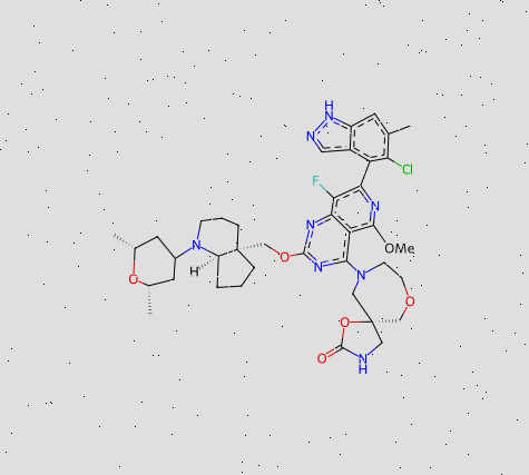 COc1nc(-c2c(Cl)c(C)cc3[nH]ncc23)c(F)c2nc(OC[C@]34CCC[C@H]3N(C3C[C@@H](C)O[C@@H](C)C3)CCC4)nc(N3CCOC[C@@]4(CNC(=O)O4)C3)c12